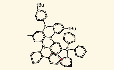 Cc1cc2c3c(c1)N(c1ccccc1-c1ccccc1)c1ccc(S(c4ccccc4)(c4ccccc4)c4ccccc4)cc1B3c1cc(C(C)(C)C)ccc1N2c1ccc(C(C)(C)C)cc1